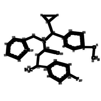 COc1ccc(C(C2CC2)N(Cc2ccccn2)C(=O)CC(C)c2ccc(F)cc2)cc1